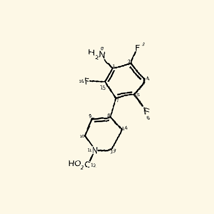 Nc1c(F)cc(F)c(C2=CCN(C(=O)O)CC2)c1F